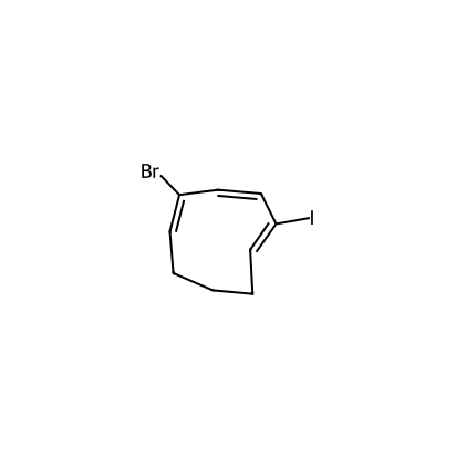 BrC1=C/CCC/C=C(I)/C=C\1